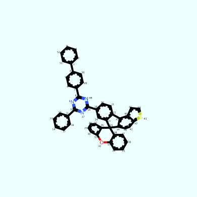 c1ccc(-c2ccc(-c3nc(-c4ccccc4)nc(-c4ccc5c(c4)C4(c6ccccc6Oc6ccccc64)c4ccc6sccc6c4-5)n3)cc2)cc1